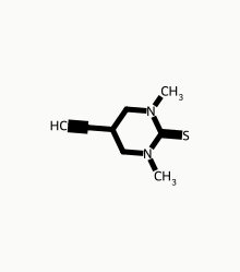 C#CC1CN(C)C(=S)N(C)C1